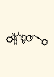 CC(c1nc2ccccc2[nH]1)N1CC2=C(CCN(CC#Cc3ccccc3)C2)N(C)C1